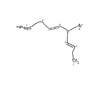 CC=CC(C=CCCCCCC)C(C)=O